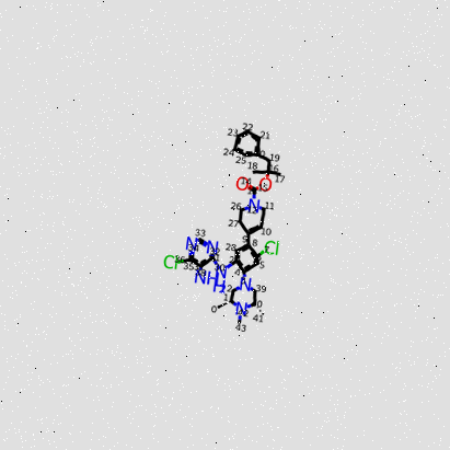 C[C@H]1CN(c2cc(Cl)c(C3=CCN(C(=O)OC(C)(C)Cc4ccccc4)CC3)cc2Nc2ncnc(Cl)c2N)C[C@H](C)N1C